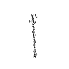 [CH2]CSSCCNC(=O)CCOCCOCCOCCOCCOCCOCCOCCOCCOCCN=[N+]=[N-]